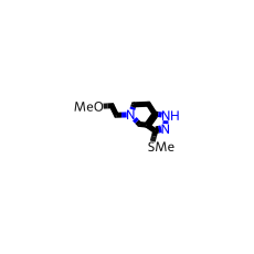 COCCN1CCc2[nH]nc(SC)c2C1